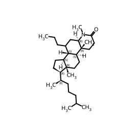 CCCC1C[C@H]2N(C)C(=O)CC[C@]2(C)[C@H]2CC[C@]3(C)[C@@H]([C@H](C)CCCC(C)C)CC[C@H]3[C@H]12